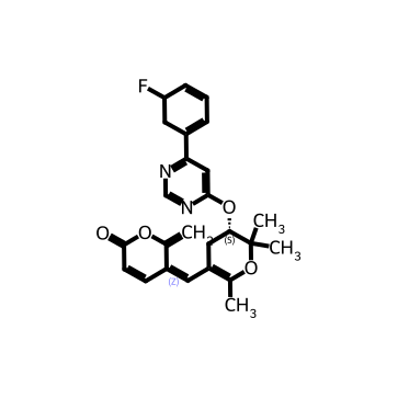 C=c1oc(=O)cc/c1=C/C1=C(C)OC(C)(C)[C@@H](Oc2cc(C3=CC=CC(F)C3)ncn2)C1